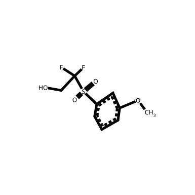 COc1cccc(S(=O)(=O)C(F)(F)CO)c1